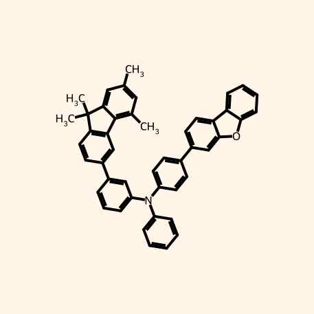 Cc1cc(C)c2c(c1)C(C)(C)c1ccc(-c3cccc(N(c4ccccc4)c4ccc(-c5ccc6c(c5)oc5ccccc56)cc4)c3)cc1-2